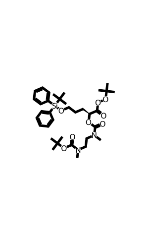 CN(CCN(C)C(=O)OC(C)(C)C)C(=O)O[C@@H](CCCO[Si](c1ccccc1)(c1ccccc1)C(C)(C)C)C(=O)OOC(C)(C)C